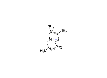 NC(=O)/C=C/C(N)=O.NCCNCCN